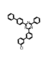 Clc1cccc(-c2cccc(-c3nc(-c4ccccc4)nc(-c4ccc(-c5ccccc5)cc4)n3)c2)c1